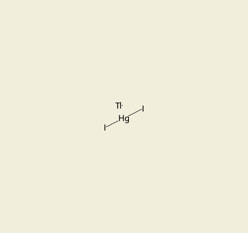 [I][Hg][I].[Tl]